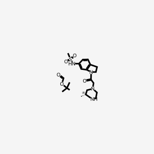 CC(C)(C)OC=O.C[C@@H]1CN(CC(=O)N2CCc3ccc(NS(C)(=O)=O)cc32)CCN1